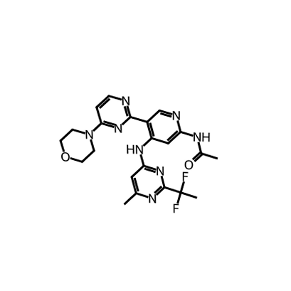 CC(=O)Nc1cc(Nc2cc(C)nc(C(C)(F)F)n2)c(-c2nccc(N3CCOCC3)n2)cn1